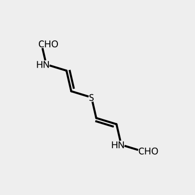 O=CNC=CSC=CNC=O